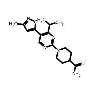 Cc1cc(-c2cnc(N3CCC(C(N)=O)CC3)nc2C(C)C)on1